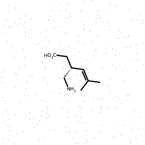 CC(C)=C[C@H](CN)CC(=O)O